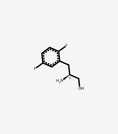 N[C@H](CO)Cc1cc(F)ccc1F